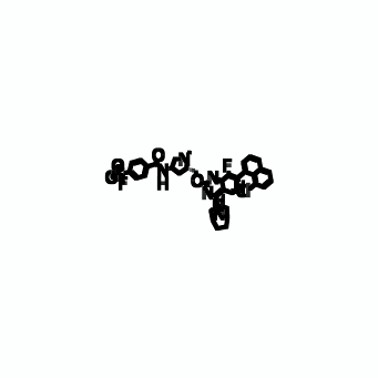 CN1C[C@H](NC(=O)c2ccc(S(=O)(=O)F)cc2)C[C@H]1COc1nc(N2CC3CCC(C2)N3)c2cnc(-c3cccc4cccc(Cl)c34)c(F)c2n1